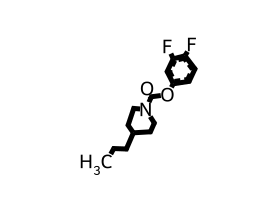 CCCC1CCN(C(=O)Oc2ccc(F)c(F)c2)CC1